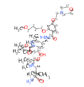 COCCCCOc1cc(OCCN2CCOCC2)ccc1C(=O)NC[C@@H](C[C@H](NC(=O)OC(C)(C)C)[C@@H](O)C[C@H](C(=O)NCC(C)(C)C(N)=O)C(C)C)C(C)C